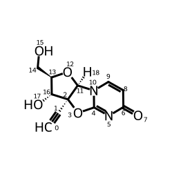 C#C[C@@]12Oc3nc(=O)ccn3[C@@H]1O[C@H](CO)[C@H]2O